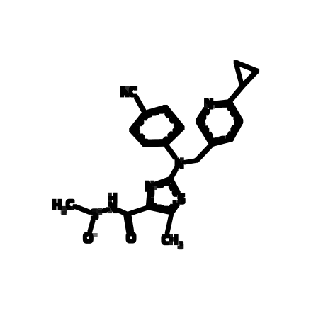 Cc1sc(N(Cc2ccc(C3CC3)nc2)c2ccc(C#N)cc2)nc1C(=O)N[S+](C)[O-]